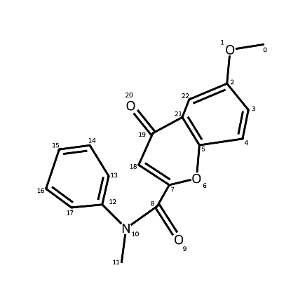 COc1ccc2oc(C(=O)N(C)c3ccccc3)cc(=O)c2c1